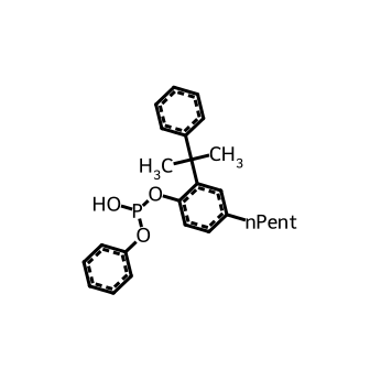 CCCCCc1ccc(OP(O)Oc2ccccc2)c(C(C)(C)c2ccccc2)c1